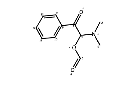 CN(C)C(OC=O)C(=O)c1ccccc1